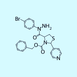 NN(C(=O)C1CSC(c2ccncc2)N1C(=O)OCc1ccccc1)c1ccc(Br)cc1